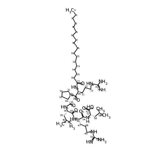 CCCCCCCCCCCCCCCCCC(=O)N[C@@H](CCCNC(=N)N)C(=O)N1CCC[C@H]1C(=O)N[C@@H](CC(C)C)C(=O)N[C@@H](CCCNC(=N)N)C(=O)N[C@@H](CC(C)C)C(=O)O